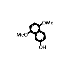 COc1ccc(OC)c2cc(O)ccc12